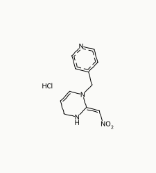 Cl.O=[N+]([O-])C=C1NCC=CN1Cc1ccncc1